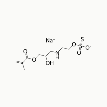 C=C(C)C(=O)OCC(O)CNCCOS(=O)([O-])=S.[Na+]